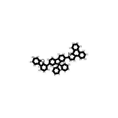 c1ccc(C2(c3ccccc3)c3cc(-c4ccc5c6ccccc6c6ccccc6c5n4)ccc3-c3ccc(-c4cccc5c4oc4ccccc45)cc32)cc1